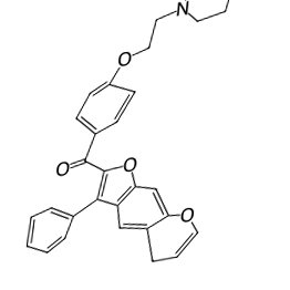 O=C(c1ccc(OCCN2CCOCC2)cc1)c1oc2cc3c(cc2c1-c1ccccc1)CC=CO3